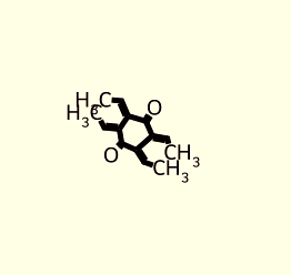 C/C=C1/C(=O)C(=C/C)/C(=C\C)C(=O)/C1=C/C